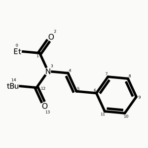 CCC(=O)N(C=Cc1ccccc1)C(=O)C(C)(C)C